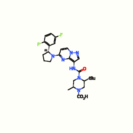 CC1CN(C(=O)Nc2cnn3ccc(N4CCC[C@@H]4c4cc(F)ccc4F)nc23)C(C(C)(C)C)CN1C(=O)O